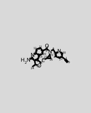 C#Cc1ccc(CN(C(=O)c2ccc3nc(N)c4c(c3c2)COC4C)C2CC2C(F)(F)F)nc1